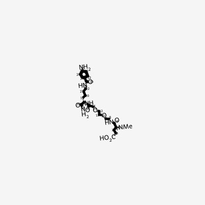 CN[C@@H](CCC(=O)O)C(=O)NCCOCCOCC(=O)N[C@@H](CCCCNC(=O)c1ccc(N)cc1)C(N)=O